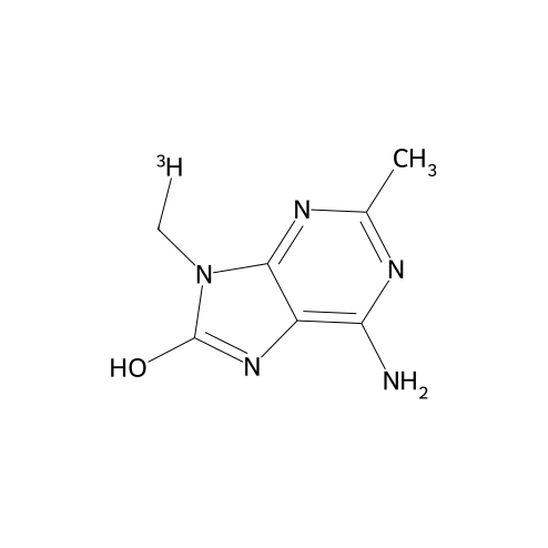 [3H]Cn1c(O)nc2c(N)nc(C)nc21